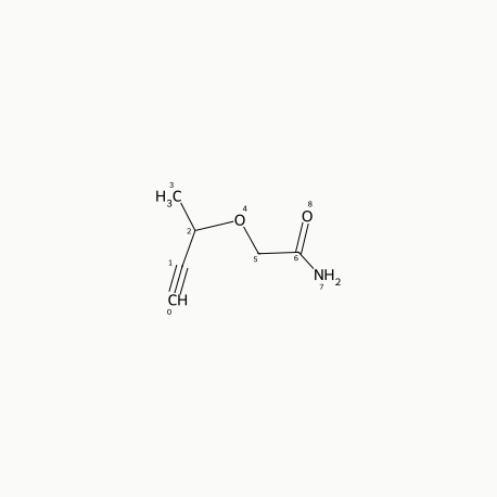 C#CC(C)OCC(N)=O